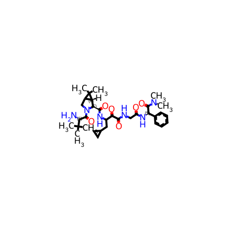 CN(C)C(=O)[C@@H](NC(=O)CNC(=O)C(=O)C(CC1CC1)NC(=O)[C@@H]1[C@@H]2C(CN1C(=O)[C@@H](N)C(C)(C)C)C2(C)C)c1ccccc1